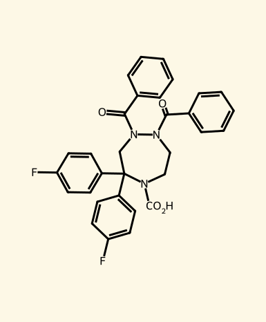 O=C(c1ccccc1)N1CCN(C(=O)O)C(c2ccc(F)cc2)(c2ccc(F)cc2)CN1C(=O)c1ccccc1